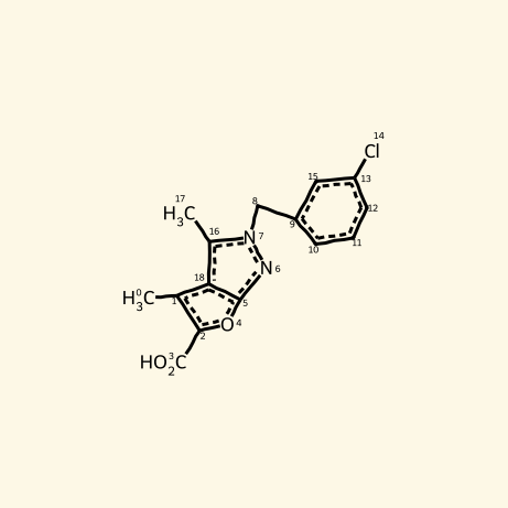 Cc1c(C(=O)O)oc2nn(Cc3cccc(Cl)c3)c(C)c12